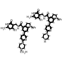 CCc1cc(C)[nH]c(=O)c1CNC(=O)c1cc(-c2ccc(N3CCN(C(=O)O)CC3)nc2)cc2c1CCN2C(C)C.CCc1cc(C)[nH]c(=O)c1CNC(=O)c1cc(-c2ccc(N3CCNCC3)nc2)cc2c1CCN2C(C)C